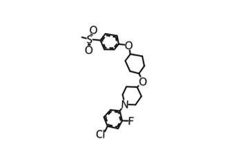 CS(=O)(=O)c1ccc(OC2CCC(OC3CCN(c4ccc(Cl)cc4F)CC3)CC2)cc1